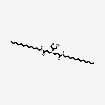 CCCCCCCCCCCCNC(=O)CCN(CCC(=O)NCCCCCCCCCCCC)C(CO)CO